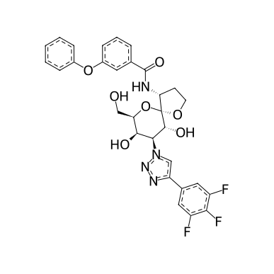 O=C(N[C@@H]1CCO[C@]12O[C@H](CO)[C@H](O)[C@H](n1cc(-c3cc(F)c(F)c(F)c3)nn1)[C@H]2O)c1cccc(Oc2ccccc2)c1